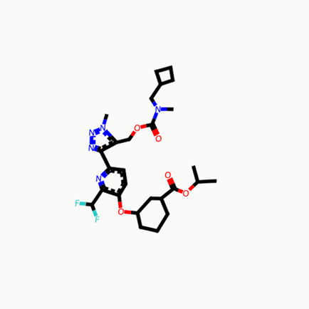 CC(C)OC(=O)C1CCCC(Oc2ccc(-c3nnn(C)c3COC(=O)N(C)CC3CCC3)nc2C(F)F)C1